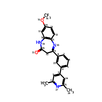 Cc1cc(-c2cccc(C3=Nc4ccc(OC(F)(F)F)cc4NC(=O)C3)c2)cc(C)n1